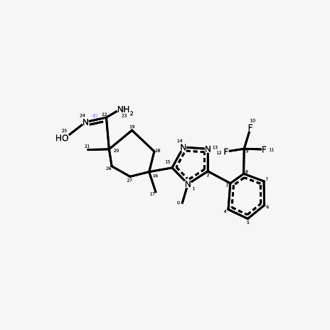 Cn1c(-c2ccccc2C(F)(F)F)nnc1C1(C)CCC(C)(/C(N)=N\O)CC1